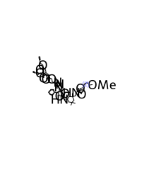 C#CCOC(=O)CC(CC(=O)OCc1cn(CC(OC(=O)NC2CC(C)(C)CC(C)(CNC(=O)OC/C=C\COC)C2)c2ccccc2)nn1)C(=O)OCC#C